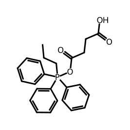 CCCP(OC(=O)CCC(=O)O)(c1ccccc1)(c1ccccc1)c1ccccc1